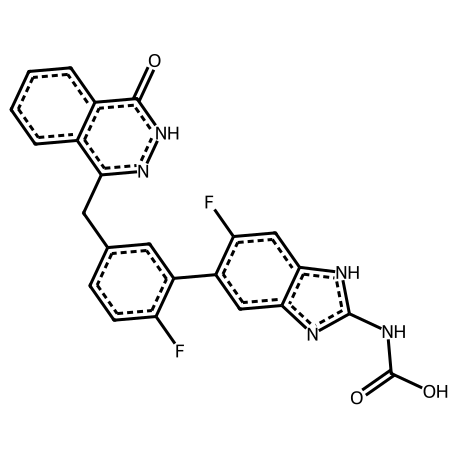 O=C(O)Nc1nc2cc(-c3cc(Cc4n[nH]c(=O)c5ccccc45)ccc3F)c(F)cc2[nH]1